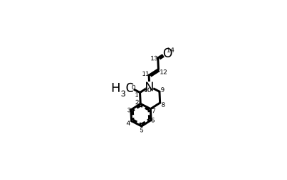 CC1c2ccccc2CCN1C=CC=O